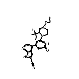 CCSN1CCN(c2cc(-c3ccnc4[nH]c(C#N)cc34)cc(=O)[nH]2)C(C(F)(F)F)C1